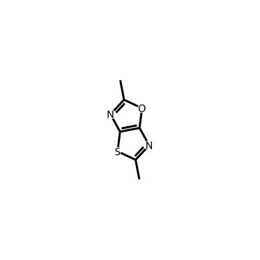 Cc1nc2sc(C)nc2o1